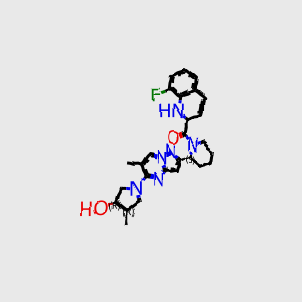 Cc1cn2nc([C@@H]3CCCCN3C(=O)C3C=Cc4cccc(F)c4N3)cc2nc1N1C[C@@H](C)[C@@H](O)C1